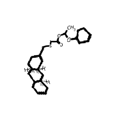 CC(OC(=O)CSCC1CC[C@@H]2CC3CC=CC[C@@H]3C[C@@H]2C1)OC1CCCCC1